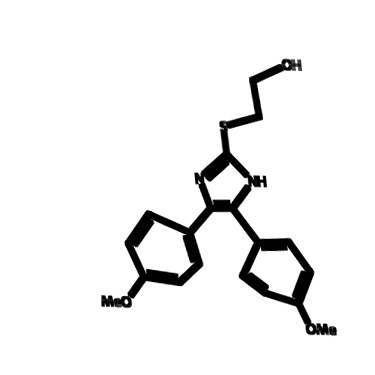 COc1ccc(-c2nc(SCCO)[nH]c2-c2ccc(OC)cc2)cc1